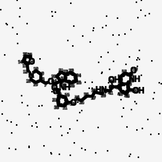 O=C(NC1(C(=O)OCC2CCN(Cc3ccco3)CC2)CCc2ccccc21)c1cccc(OCCCCCCNC[C@H](O)c2ccc(O)c3[nH]c(=O)ccc23)c1